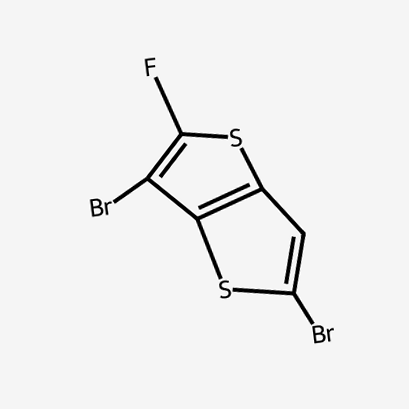 Fc1sc2cc(Br)sc2c1Br